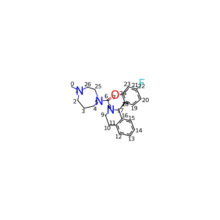 CN1CCCN(C(=O)N2CCc3ccccc3[C@@H]2c2ccc(F)cc2)CC1